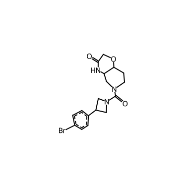 O=C1COC2CCN(C(=O)N3CC(c4ccc(Br)cc4)C3)CC2N1